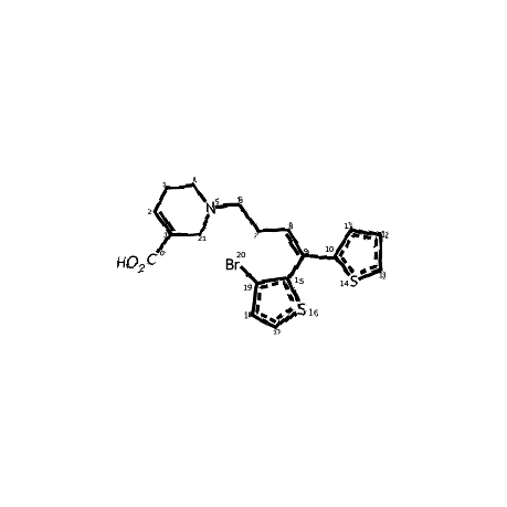 O=C(O)C1=CCCN(CCC=C(c2cccs2)c2sccc2Br)C1